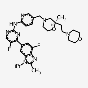 Cc1nc2c(F)cc(-c3nc(Nc4ccc(CN5CCO[C@](C)(CCN6CCOCC6)C5)cn4)ncc3F)cc2n1C(C)C